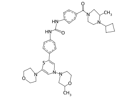 CC1CN(N2C=C(c3ccc(NC(=O)Nc4ccc(C(=O)N5CCN(C6CCC6)C(C)C5)cc4)cc3)SC(N3CCOCC3)=C2)CCO1